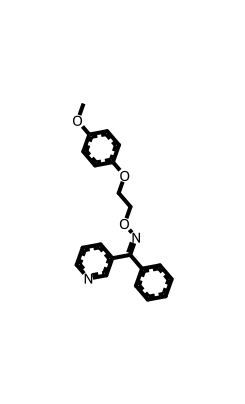 COc1ccc(OCCON=C(c2ccccc2)c2cccnc2)cc1